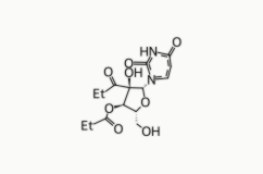 CCC(=O)O[C@@H]1[C@@H](CO)O[C@@H](n2ccc(=O)[nH]c2=O)[C@@]1(O)C(=O)CC